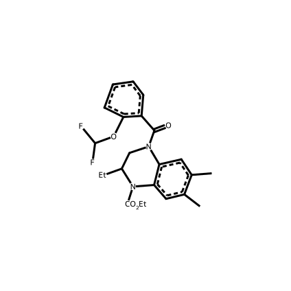 CCOC(=O)N1c2cc(C)c(C)cc2N(C(=O)c2ccccc2OC(F)F)CC1CC